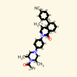 Cc1cn(-c2ccc(N3CC(C)N(C(=O)C(C)C)C(C)C3)cc2)c(=O)c2cccc(-c3ccc(C#N)cc3)c12